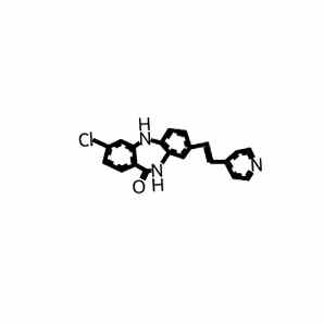 O=C1Nc2cc(C=Cc3ccncc3)ccc2Nc2cc(Cl)ccc21